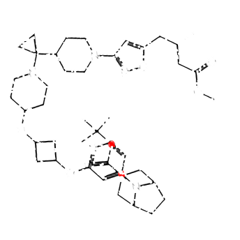 COC(=O)C[C@@H](C)Cc1cc(N2CCC(C3(N4CCC(OC5CC(Oc6cc(N7C8CCC7CN(C(=O)OC(C)(C)C)C8)ccn6)C5)CC4)CC3)CC2)no1